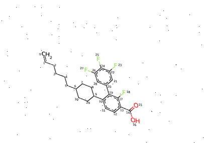 C=CCCCCC1CCC(c2ccc(C(=O)O)c(F)c2-c2cc(F)c(F)c(F)c2)CC1